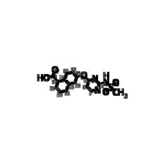 CS(=O)(=O)Nc1nccc(Oc2ccc3c(C(=O)O)cccc3c2)n1